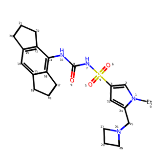 CCn1cc(S(=O)(=O)NC(=O)Nc2c3c(cc4c2CCC4)CCC3)cc1CN1CCC1